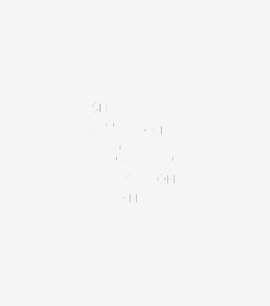 CCOC(=S)S.Oc1cc(Cl)ccc1Cl.Oc1cccc(Cl)c1.[KH]